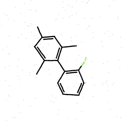 Cc1cc(C)c(-c2ccc[c]c2F)c(C)c1